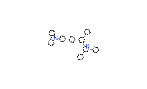 c1ccc(-c2cc(-c3ccc(-c4ccc(-n5c6ccccc6c6ccccc65)cc4)cc3)cc(-c3cc(-c4ccccc4)cc(-c4ccccc4)n3)c2)cc1